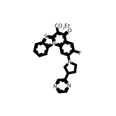 CCOC(=O)c1c(=O)c2cc(F)c(N3CCC(c4cnccn4)C3)cc2n2c1sc1ccccc12